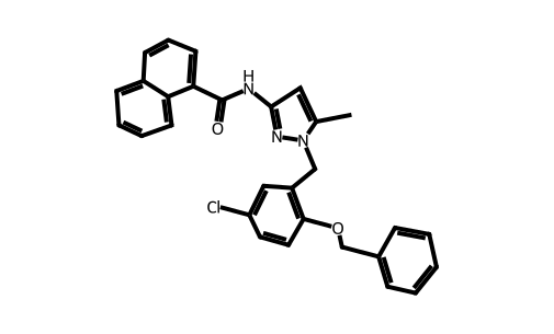 Cc1cc(NC(=O)c2cccc3ccccc23)nn1Cc1cc(Cl)ccc1OCc1ccccc1